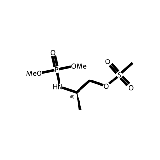 COP(=O)(N[C@H](C)COS(C)(=O)=O)OC